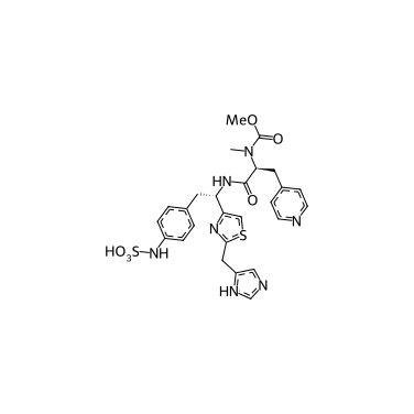 COC(=O)N(C)[C@@H](Cc1ccncc1)C(=O)N[C@@H](Cc1ccc(NS(=O)(=O)O)cc1)c1csc(Cc2cnc[nH]2)n1